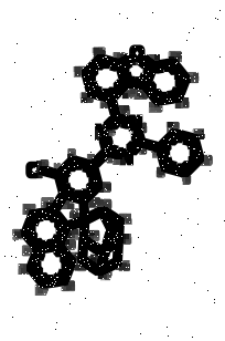 Clc1cc(-c2nc(-c3ccccc3)nc(-c3cccc4oc5ccccc5c34)n2)cc2c1-c1ccc3ccccc3c1C21C2CC3CC(C2)CC1C3